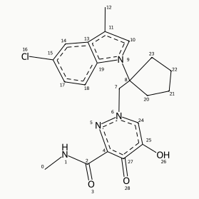 CNC(=O)c1nn(CC2(n3cc(C)c4cc(Cl)ccc43)CCCC2)cc(O)c1=O